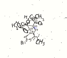 CCc1cc(Br)ccc1/C=C1/C(=O)C(C)(C)OC1(C)COC